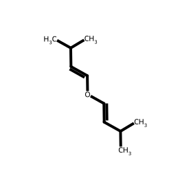 CC(C)C=COC=CC(C)C